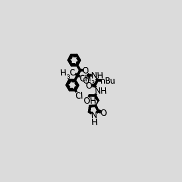 CCCCC(NC(=O)OC(c1ccccc1)C(C)(C)c1cccc(Cl)c1)C(=O)NC(CO)C[C@@H]1CCNC1=O